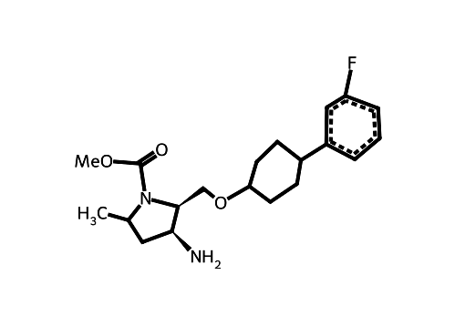 COC(=O)N1C(C)C[C@H](N)[C@@H]1COC1CCC(c2cccc(F)c2)CC1